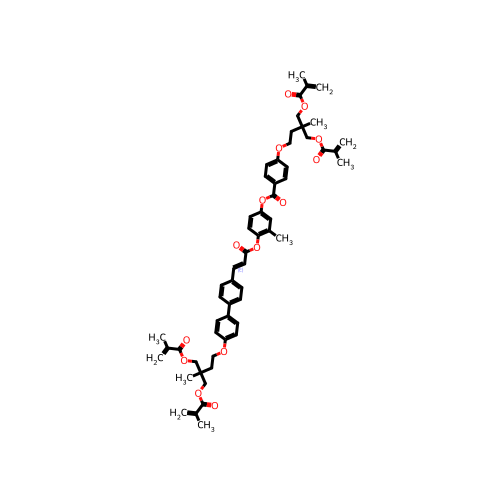 C=C(C)C(=O)OCC(C)(CCOc1ccc(C(=O)Oc2ccc(OC(=O)/C=C/c3ccc(-c4ccc(OCCC(C)(COC(=O)C(=C)C)COC(=O)C(=C)C)cc4)cc3)c(C)c2)cc1)COC(=O)C(=C)C